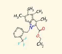 CCOC(=O)c1c(C)c2c(C)c([SiH3])c(C)cc2n1Cc1ccccc1C(F)(F)F